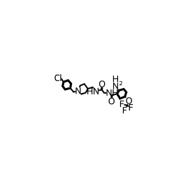 Nc1ccc(OC(F)(F)F)cc1C(=O)NCC(=O)NCC1CCN(Cc2ccc(Cl)cc2)CC1